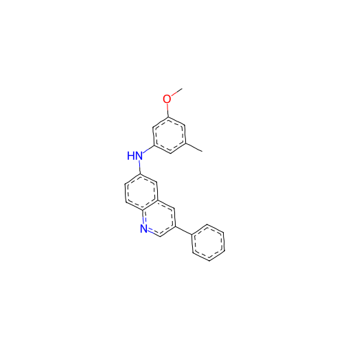 COc1cc(C)cc(Nc2ccc3ncc(-c4ccccc4)cc3c2)c1